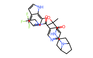 CC(C)(Oc1cccc2cc[nH]c12)C(=O)NC1CC2CCC(C1)N2c1ccc(C(=O)NCC(F)(F)F)cn1